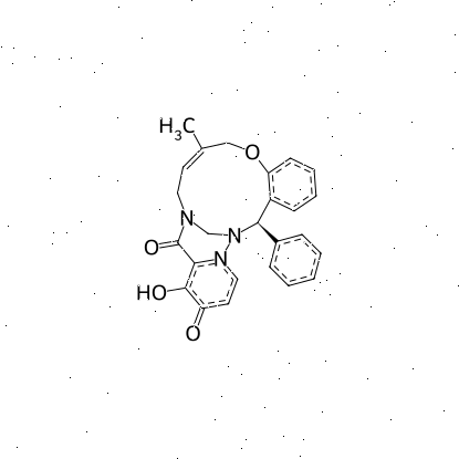 C/C1=C/CN2CN([C@H](c3ccccc3)c3ccccc3OC1)n1ccc(=O)c(O)c1C2=O